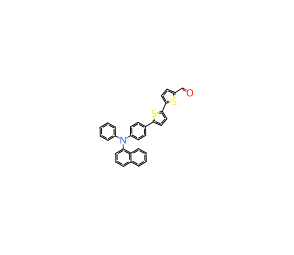 O=Cc1ccc(-c2ccc(-c3ccc(N(c4ccccc4)c4cccc5ccccc45)cc3)s2)s1